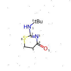 CC(C)(C)NC1=NC(=O)CCS1